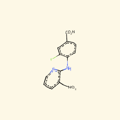 O=C(O)c1ccc(Nc2ncccc2[N+](=O)[O-])c(F)c1